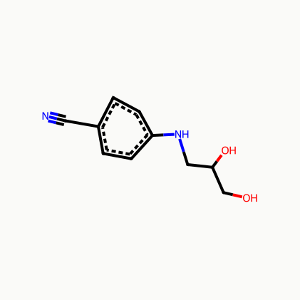 N#Cc1ccc(NCC(O)CO)cc1